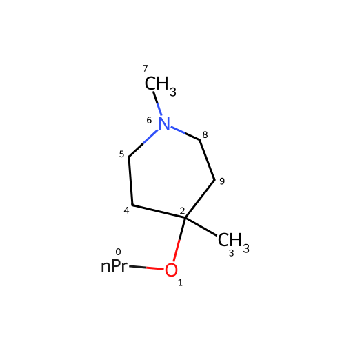 CCCOC1(C)CCN(C)CC1